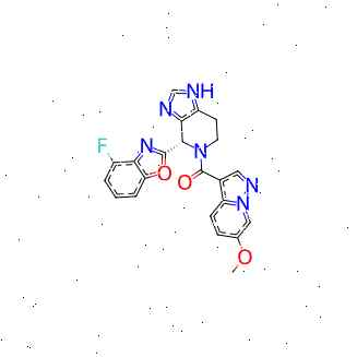 COc1ccc2c(C(=O)N3CCc4[nH]cnc4[C@H]3c3nc4c(F)cccc4o3)cnn2c1